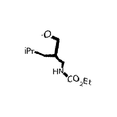 CCOC(=O)NCC(C[O])CC(C)C